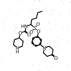 CCCCC(NC(=O)OC1CCNCC1)S(=O)(=O)Oc1cccc(N2CCC(=O)CC2)c1